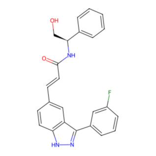 O=C(C=Cc1ccc2[nH]nc(-c3cccc(F)c3)c2c1)N[C@@H](CO)c1ccccc1